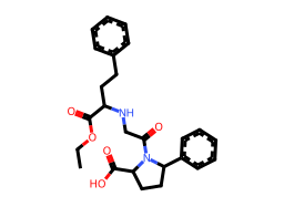 CCOC(=O)C(CCc1ccccc1)NCC(=O)N1C(C(=O)O)CCC1c1ccccc1